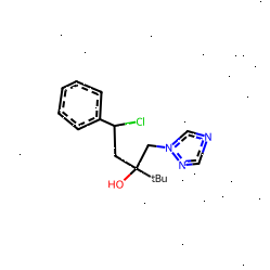 CC(C)(C)C(O)(CC(Cl)c1ccccc1)Cn1cncn1